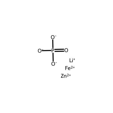 O=P([O-])([O-])[O-].[Fe+2].[Li+].[Zn+2]